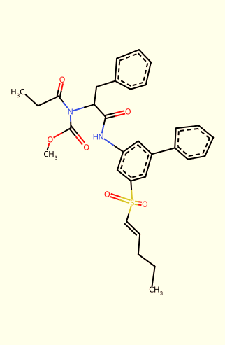 CCC/C=C/S(=O)(=O)c1cc(NC(=O)C(Cc2ccccc2)N(C(=O)CC)C(=O)OC)cc(-c2ccccc2)c1